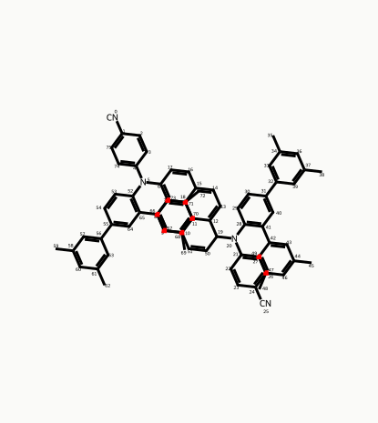 [C-]#[N+]c1ccc(N(C2=C3C=CC4=C5C(=CC=C(C=C2)C35)C(N(c2ccc(C#N)cc2)c2ccc(-c3cc(C)cc(C)c3)cc2-c2cc(C)cc(C)c2)C=C4)c2ccc(-c3cc(C)cc(C)c3)cc2-c2cc(C)cc(C)c2)cc1